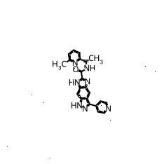 Cc1cccc([C@@H](C)NC(=O)c2nc3cc4c(-c5ccncc5)n[nH]c4cc3[nH]2)n1